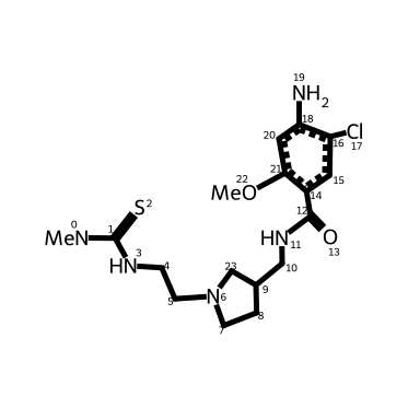 CNC(=S)NCCN1CCC(CNC(=O)c2cc(Cl)c(N)cc2OC)C1